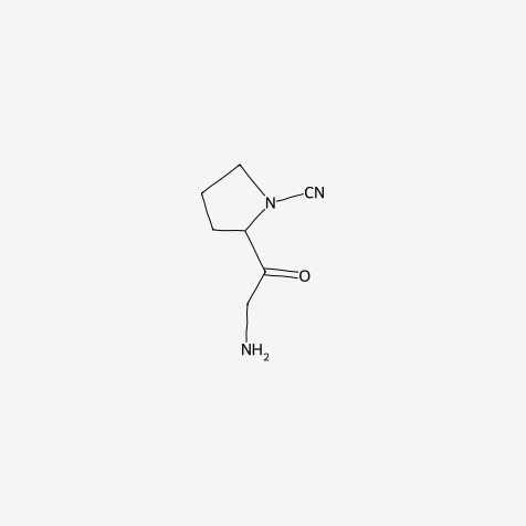 N#CN1CCCC1C(=O)CN